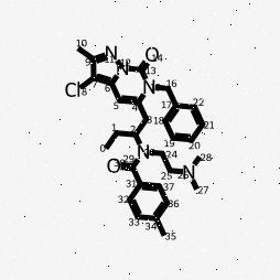 CCC(Cc1cc2c(Cl)c(C)nn2c(=O)n1Cc1ccccc1)N(CCN(C)C)C(=O)c1ccc(C)cc1